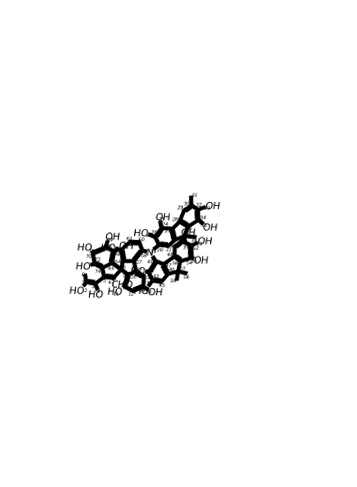 C/C(O)=C(/O)C1=C(C=O)C2(c3c(O)cc(O)cc3-c3c(N(c4cc5c(c(O)c4O)-c4cc(C)c(O)c(O)c4C5(C)C)c4c(O)c(O)cc5c4-c4cc(O)c(O)c(O)c4C5(C)C)ccc(O)c32)c2c(O)c(O)c(O)c(O)c21